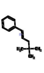 CC(C)(C)C/C=C/c1ccccc1